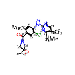 CNc1nc(Nc2cc(OC)c(C(=O)N3CC4(CCO4)C3)cc2Cl)ncc1C(F)(F)F